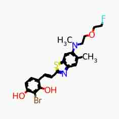 Cc1cc2nc(/C=C/c3ccc(O)c(Br)c3O)sc2cc1N(C)CCOCCF